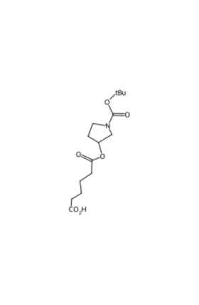 CC(C)(C)OC(=O)N1CCC(OC(=O)CCCCC(=O)O)C1